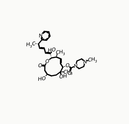 C[C@@H](/C=C/C=C(\O)[C@H]1OC(=O)C[C@H](O)CC[C@@](C)(O)[C@@H](OC(=O)N2CCN(C)CC2)/C=C/[C@@H]1C)c1ccccn1